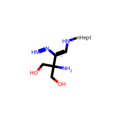 CCCCCCCN/C=C(\N=N)C(N)(CO)CO